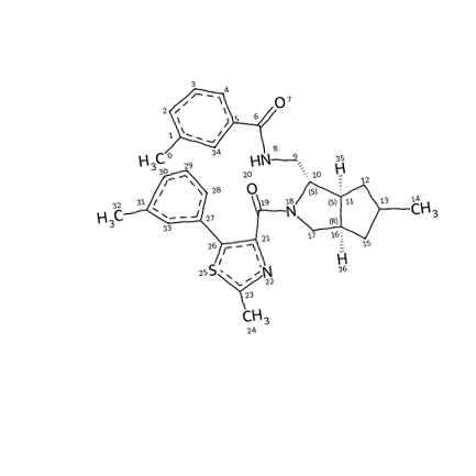 Cc1cccc(C(=O)NC[C@@H]2[C@H]3CC(C)C[C@H]3CN2C(=O)c2nc(C)sc2-c2cccc(C)c2)c1